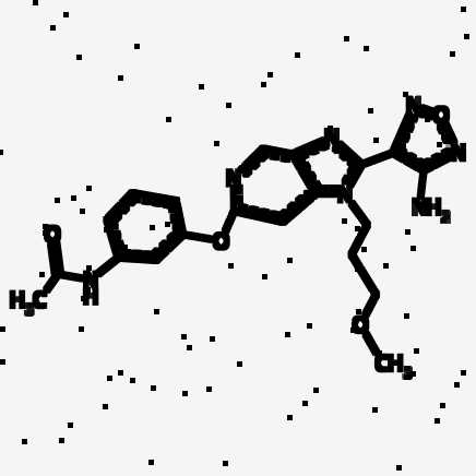 COCCCn1c(-c2nonc2N)nc2cnc(Oc3cccc(NC(C)=O)c3)cc21